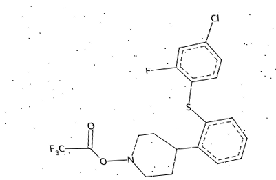 O=C(ON1CCC(c2ccccc2Sc2ccc(Cl)cc2F)CC1)C(F)(F)F